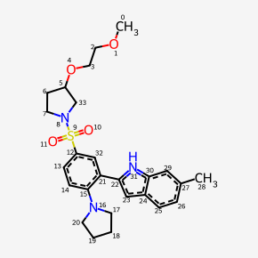 COCCOC1CCN(S(=O)(=O)c2ccc(N3CCCC3)c(-c3cc4ccc(C)cc4[nH]3)c2)C1